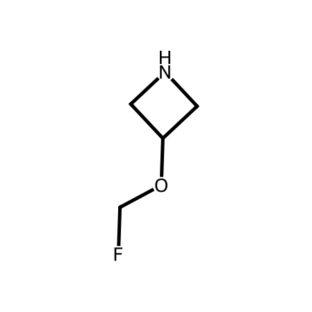 FCOC1CNC1